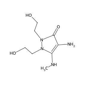 CNc1c(N)c(=O)n(CCO)n1CCO